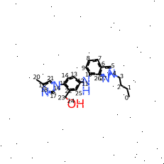 CCCCn1cc2cccc(Nc3ccc(-n4cnc(C)c4)c(CO)c3)c2n1